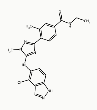 CCNC(=O)c1ccc(-c2nc(Nc3ccc4[nH]ncc4c3Cl)n(C)n2)c(C)c1